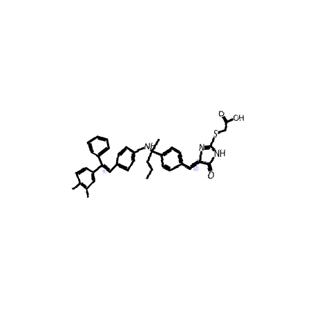 CCCC(C)(Nc1ccc(/C=C(\c2ccccc2)c2ccc(C)c(C)c2)cc1)c1ccc(/C=C2\N=C(SCC(=O)O)NC2=O)cc1